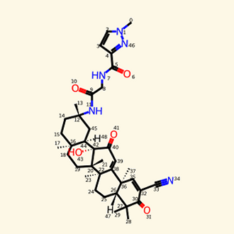 Cn1ccc(C(=O)NCC(=O)N[C@@]2(C)CC[C@]3(C)CC[C@@]4(C)[C@]5(C)CC[C@H]6C(C)(C)C(=O)C(C#N)=C[C@]6(C)C5=CC(=O)[C@]4(O)[C@@H]3C2)n1